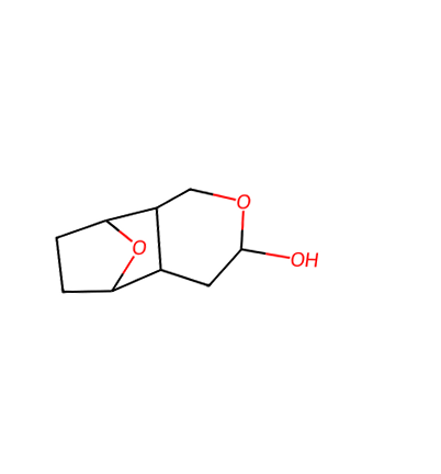 OC1CC2C3CCC(O3)C2CO1